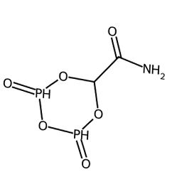 NC(=O)C1O[PH](=O)O[PH](=O)O1